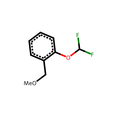 COCc1ccccc1OC(F)F